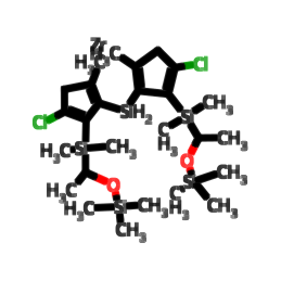 CC1=C([SiH2]C2=C(C)CC(Cl)=C2[Si](C)(C)C(C)O[Si](C)(C)C)C([Si](C)(C)C(C)O[Si](C)(C)C)=C(Cl)C1.[Zr]